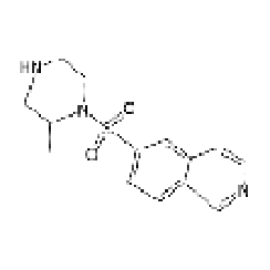 CC1CNCCN1S(=O)(=O)c1ccc2cnccc2c1